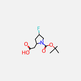 CC(C)(C)OC(=O)N1C[C@H](F)CC1CC(=O)O